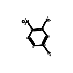 C[C](C)c1cc(Br)ccc1[N+](=O)[O-]